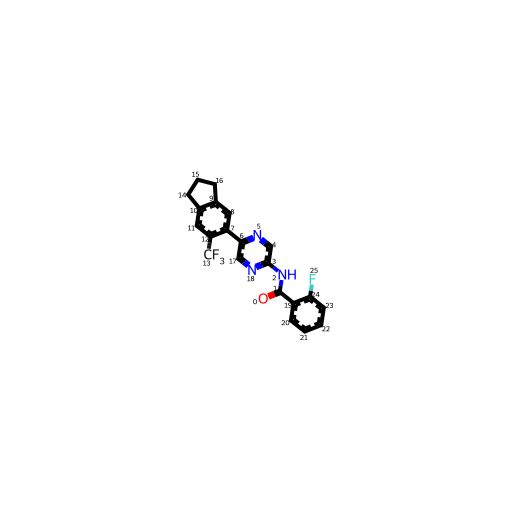 O=C(Nc1cnc(-c2cc3c(cc2C(F)(F)F)CCC3)cn1)c1ccccc1F